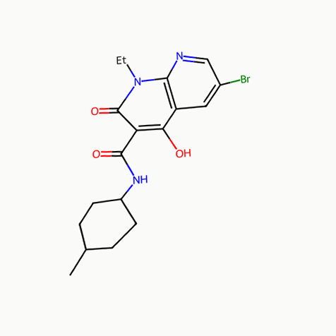 CCn1c(=O)c(C(=O)NC2CCC(C)CC2)c(O)c2cc(Br)cnc21